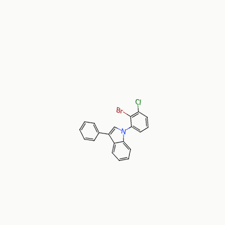 Clc1cccc(-n2cc(-c3ccccc3)c3ccccc32)c1Br